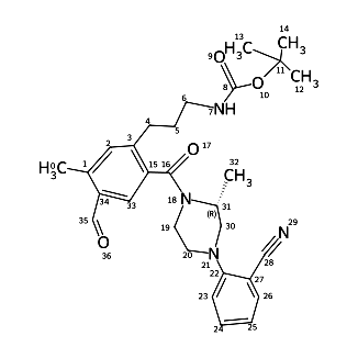 Cc1cc(CCCNC(=O)OC(C)(C)C)c(C(=O)N2CCN(c3ccccc3C#N)C[C@H]2C)cc1C=O